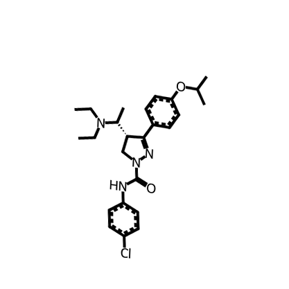 CCN(CC)C(C)[C@H]1CN(C(=O)Nc2ccc(Cl)cc2)N=C1c1ccc(OC(C)C)cc1